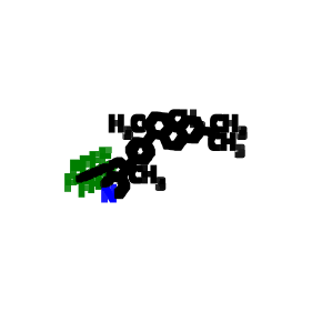 CC(C)C1=CC2=CCC3C(c4ccc(C(C)(CC(F)(F)C(F)(F)C(F)(F)C(F)(F)F)c5ccncc5)cc4)C(C)CCC3(C)C2CC1